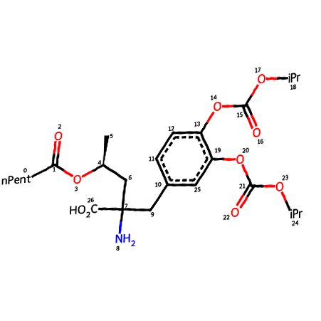 CCCCCC(=O)O[C@@H](C)CC(N)(Cc1ccc(OC(=O)OC(C)C)c(OC(=O)OC(C)C)c1)C(=O)O